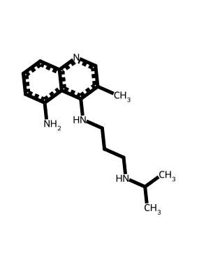 Cc1cnc2cccc(N)c2c1NCCCNC(C)C